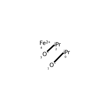 CC(C)[O-].CC(C)[O-].[Fe+2]